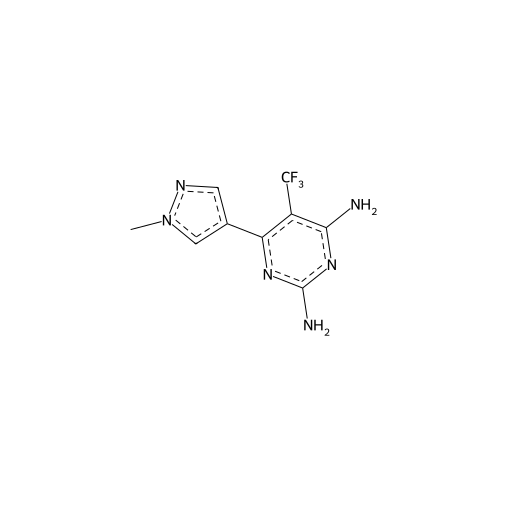 Cn1cc(-c2nc(N)nc(N)c2C(F)(F)F)cn1